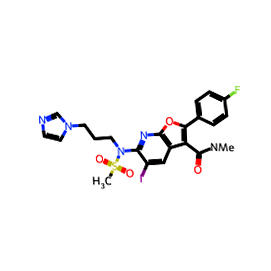 CNC(=O)c1c(-c2ccc(F)cc2)oc2nc(N(CCCn3ccnc3)S(C)(=O)=O)c(I)cc12